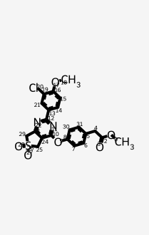 COC(=O)Cc1ccc(Oc2nc(-c3ccc(OC)c(Cl)c3)nc3c2CS(=O)(=O)C3)cc1